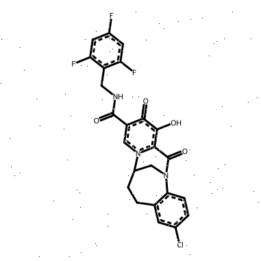 O=C(NCc1c(F)cc(F)cc1F)c1cn2c(c(O)c1=O)C(=O)N1CC2CCc2cc(Cl)ccc21